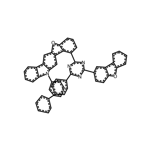 c1ccc(-c2ccc(-c3nc(-c4ccc5oc6ccccc6c5c4)nc(-c4cccc5oc6cc7c8ccccc8n(-c8ccccc8)c7cc6c45)n3)cc2)cc1